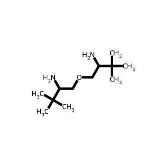 CC(C)(C)C(N)COCC(N)C(C)(C)C